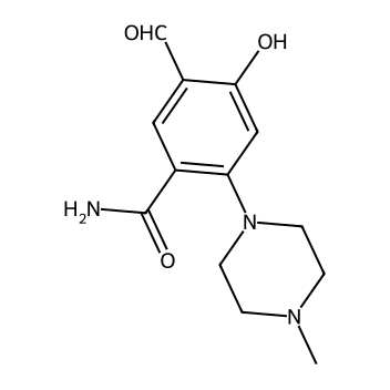 CN1CCN(c2cc(O)c(C=O)cc2C(N)=O)CC1